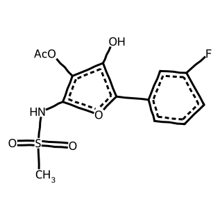 CC(=O)Oc1c(NS(C)(=O)=O)oc(-c2cccc(F)c2)c1O